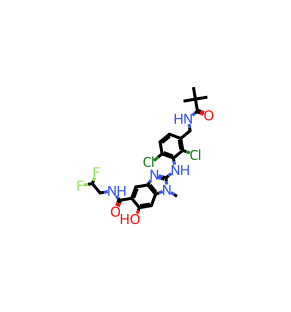 Cn1c(Nc2c(Cl)ccc(CNC(=O)C(C)(C)C)c2Cl)nc2cc(C(=O)NCC(F)F)c(O)cc21